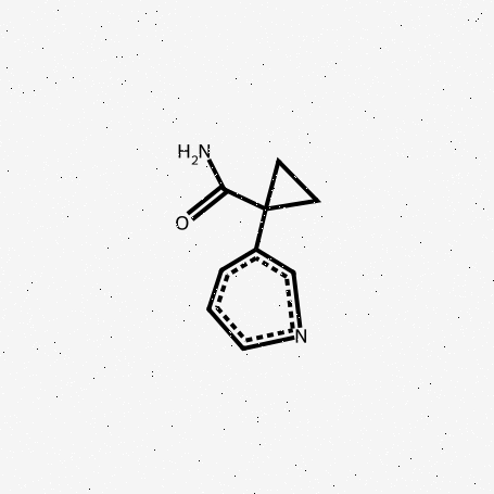 NC(=O)C1(c2cccnc2)CC1